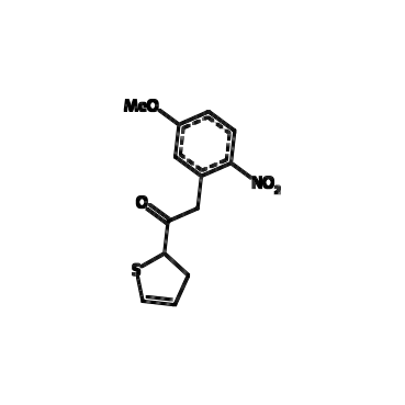 COc1ccc([N+](=O)[O-])c(CC(=O)C2CC=CS2)c1